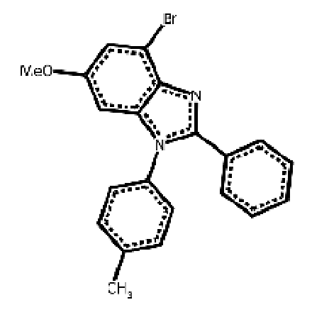 COc1cc(Br)c2nc(-c3ccccc3)n(-c3ccc(C)cc3)c2c1